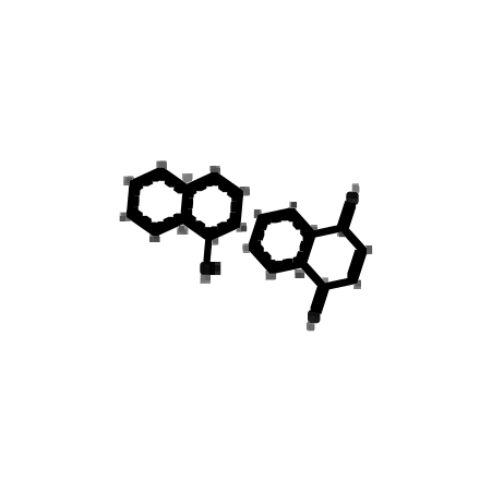 O=C1C=CC(=O)c2ccccc21.Oc1cccc2ccccc12